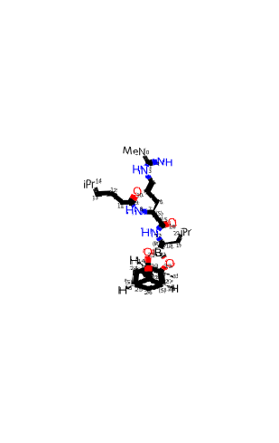 CNC(=N)NCCC[C@H](NC(=O)CCCC(C)C)C(=O)N[C@@H](CC(C)C)B1O[C@@H]2C[C@@H]3C[C@@H](C3(C)C)[C@]2(C)O1